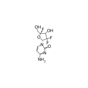 Nc1ccn([C@@H]2O[C@](F)(CO)C(O)C2(F)F)c(=O)n1